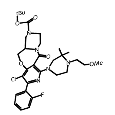 COCCN1CCN(c2nc(-c3ccccc3F)c(Cl)c3c2C(=O)N2CCN(C(=O)OC(C)(C)C)CC2CO3)CC1(C)C